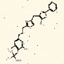 Cc1cc(CNCc2nc(Cc3nc(-c4ccccc4)oc3C)cs2)cc(C)c1OC(C)(C)C(=O)O